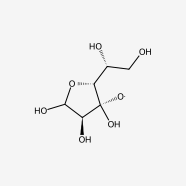 [O][C@@]1(O)[C@@H]([C@H](O)CO)OC(O)[C@@H]1O